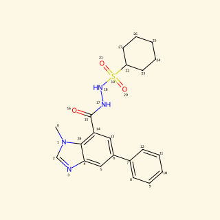 Cn1cnc2cc(-c3ccccc3)cc(C(=O)NNS(=O)(=O)C3CCCCC3)c21